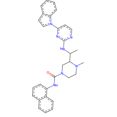 CC(Nc1nccc(-n2ccc3ccccc32)n1)C1CN(C(=O)Nc2cccc3ccccc23)CCN1C